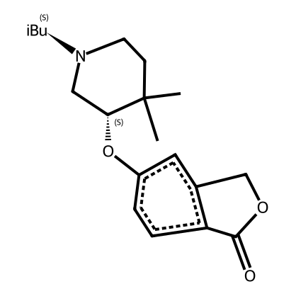 CC[C@H](C)N1CCC(C)(C)[C@H](Oc2ccc3c(c2)COC3=O)C1